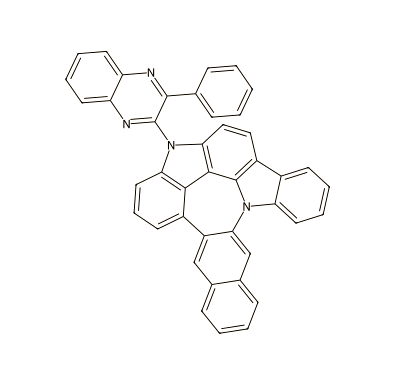 c1ccc(-c2nc3ccccc3nc2-n2c3cccc4c5cc6ccccc6cc5n5c6ccccc6c6ccc2c(c43)c65)cc1